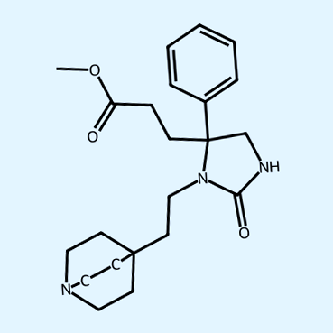 COC(=O)CCC1(c2ccccc2)CNC(=O)N1CCC12CCN(CC1)CC2